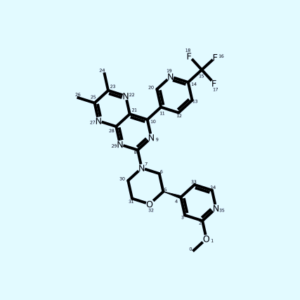 COc1cc([C@@H]2CN(c3nc(-c4ccc(C(F)(F)F)nc4)c4nc(C)c(C)nc4n3)CCO2)ccn1